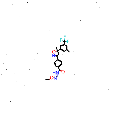 CCO/N=C\NC(=O)c1ccc(C2=NOC(C)(c3cc(C)cc(C(F)(F)F)c3)C2)cc1